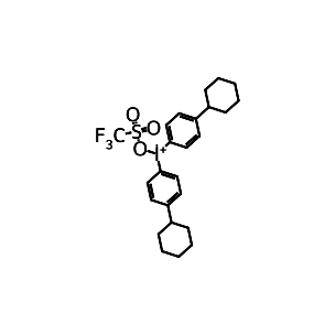 O=S(=O)(O[I+](c1ccc(C2CCCCC2)cc1)c1ccc(C2CCCCC2)cc1)C(F)(F)F